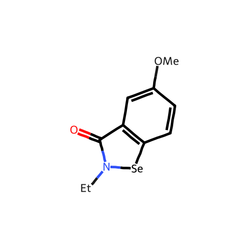 CCn1[se]c2ccc(OC)cc2c1=O